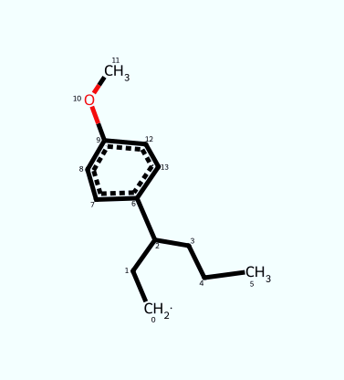 [CH2]CC(CCC)c1ccc(OC)cc1